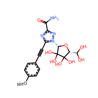 COc1ccc(C#Cc2nc(C(N)=O)nn2[C@@H]2O[C@H](C(O)O)C(O)(O)C2(O)O)cc1